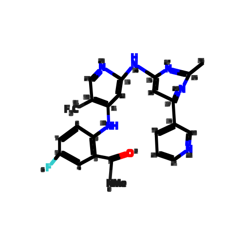 CNC(=O)c1cc(F)ccc1Nc1cc(Nc2cc(-c3cccnc3)nc(C)n2)ncc1C(F)(F)F